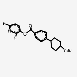 CCCCC1CCC(c2ccc(C(=O)Oc3ccc(F)nc3F)cc2)CC1